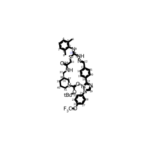 Cc1cccc(C)c1/N=C(/NN=Cc1ccc(-c2ncn(-c3ccc(OC(F)(F)F)cc3)n2)cc1)SCC(=O)NC[C@@H]1CCCN(C(=O)OC(C)(C)C)C1